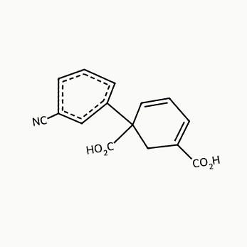 N#Cc1cccc(C2(C(=O)O)C=CC=C(C(=O)O)C2)c1